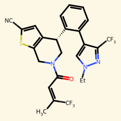 CCn1cc(-c2ccccc2[C@@H]2CN(C(=O)/C=C(/C)C(F)(F)F)Cc3sc(C#N)cc32)c(C(F)(F)F)n1